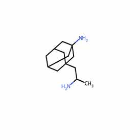 CC(N)CC12CC3CC(CC(N)(C3)C1)C2